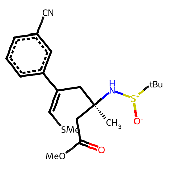 COC(=O)C[C@@](C)(C/C(=C\SC)c1cccc(C#N)c1)N[S+]([O-])C(C)(C)C